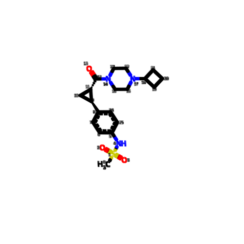 CS(=O)(=O)Nc1ccc([C@H]2C[C@@H]2C(=O)N2CCN(C3CCC3)CC2)cc1